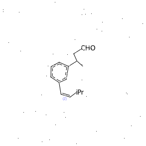 CC(C)/C=C\c1cccc(C(C)CC=O)c1